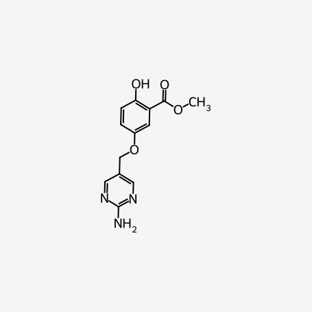 COC(=O)c1cc(OCc2cnc(N)nc2)ccc1O